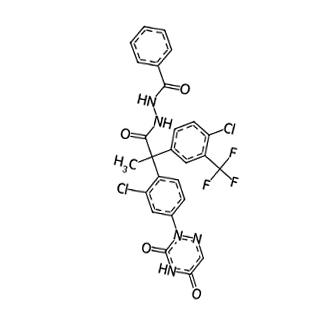 CC(C(=O)NNC(=O)c1ccccc1)(c1ccc(Cl)c(C(F)(F)F)c1)c1ccc(-n2ncc(=O)[nH]c2=O)cc1Cl